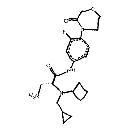 NC[C@H](C(=O)Nc1ccc(N2CCOCC2=O)c(F)c1)N(CC1CC1)C1CCC1